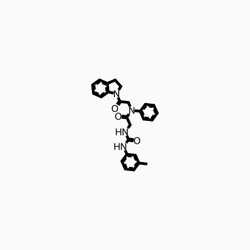 Cc1cccc(NC(=O)NCC(=O)N(CC(=O)N2CCc3ccccc32)c2ccccc2)c1